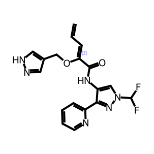 C=C/C=C(\OCc1cn[nH]c1)C(=O)Nc1cn(C(F)F)nc1-c1ccccn1